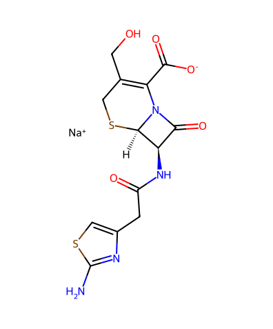 Nc1nc(CC(=O)N[C@@H]2C(=O)N3C(C(=O)[O-])=C(CO)CS[C@H]23)cs1.[Na+]